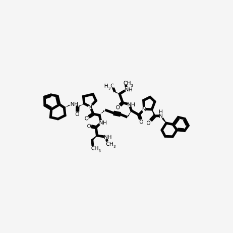 CC[C@H](NC)C(=O)N[C@@H](CC#CC[C@H](NC(=O)[C@H](CC)NC)C(=O)N1CCC[C@H]1C(=O)N[C@@H]1CCCc2ccccc21)C(=O)N1CCC[C@H]1C(=O)N[C@@H]1CCCc2ccccc21